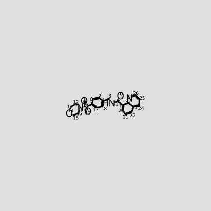 O=C(NCc1ccc(S(=O)(=O)N2CCOCC2)cc1)c1cccc2cccnc12